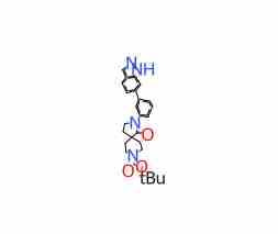 CC(C)(C)OC(=O)N1CCC2(CC1)CCN(c1cccc(-c3ccc4cn[nH]c4c3)c1)C2=O